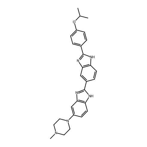 CC(C)Oc1ccc(-c2nc3cc(-c4nc5cc(N6CCN(C)CC6)ccc5[nH]4)ccc3[nH]2)cc1